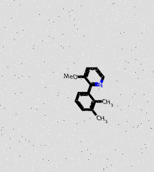 COc1cccnc1-c1cccc(C)c1C